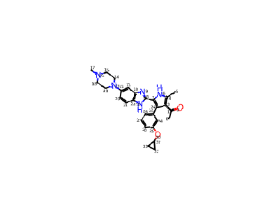 CC(=O)c1c(C)[nH]c(-c2nc3cc(N4CCN(C)CC4)ccc3[nH]2)c1-c1cccc(OC2CC2)c1